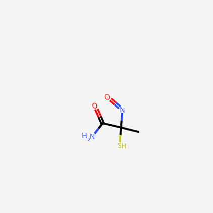 CC(S)(N=O)C(N)=O